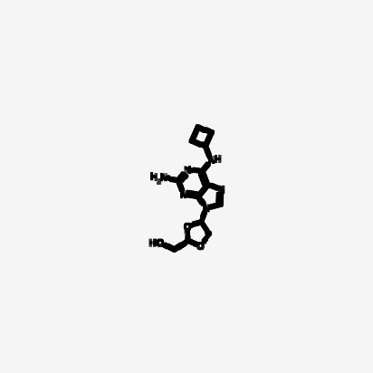 Nc1nc(NC2CCC2)c2ncn(C3COC(CO)O3)c2n1